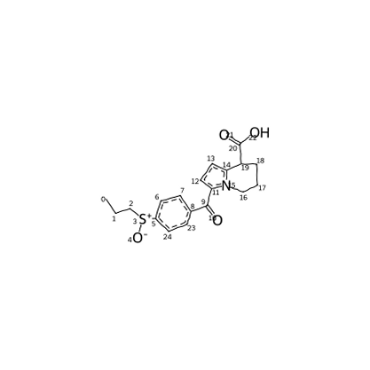 CCC[S+]([O-])c1ccc(C(=O)c2ccc3n2CCCC3C(=O)O)cc1